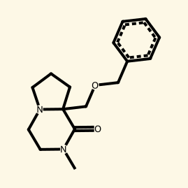 CN1CCN2CCCC2(COCc2ccccc2)C1=O